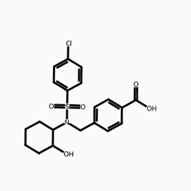 O=C(O)c1ccc(CN(C2CCCCC2O)S(=O)(=O)c2ccc(Cl)cc2)cc1